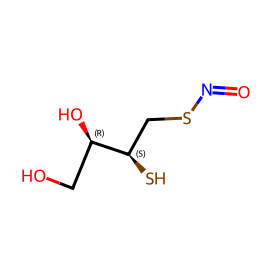 O=NSC[C@@H](S)[C@H](O)CO